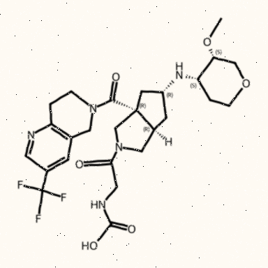 CO[C@@H]1COCC[C@@H]1N[C@@H]1C[C@H]2CN(C(=O)CNC(=O)O)C[C@@]2(C(=O)N2CCc3ncc(C(F)(F)F)cc3C2)C1